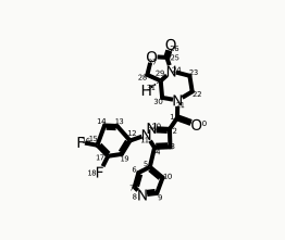 O=C(c1cc(-c2ccncc2)n(-c2ccc(F)c(F)c2)n1)N1CCN2C(=O)OC[C@@H]2C1